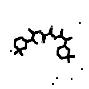 CC(OC(=O)C(=O)OC(C)C(C)C1CCCC(C)(C)C1)C(C)C1CCCC(C)(C)C1